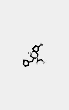 O=C(CBr)N1Cc2cc(Br)ccc2NCC1Cc1ccccc1